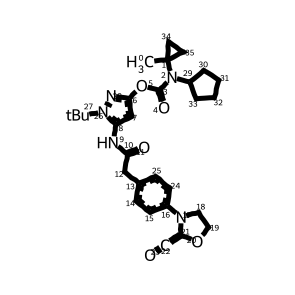 CC1(N(C(=O)Oc2cc(NC(=O)Cc3ccc(N4CCOC4=C=O)cc3)n(C(C)(C)C)n2)C2CCCC2)CC1